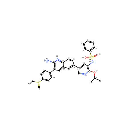 C=S(CC)c1ccc(-c2cc3cc(-c4cnc(OC(C)C)c(NS(=O)(=O)c5ccccc5)c4)ccc3nc2N)cc1